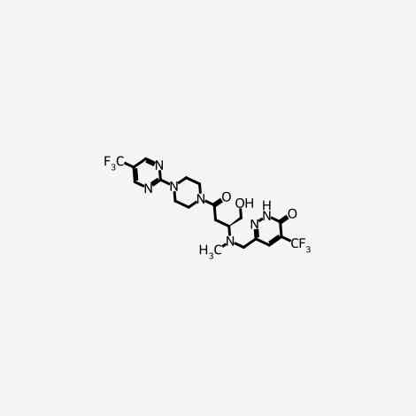 CN(Cc1cc(C(F)(F)F)c(=O)[nH]n1)[C@H](CO)CC(=O)N1CCN(c2ncc(C(F)(F)F)cn2)CC1